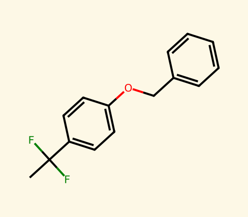 CC(F)(F)c1ccc(OCc2ccccc2)cc1